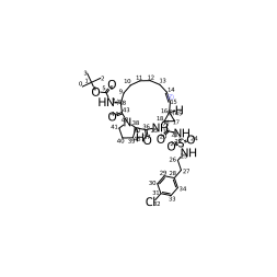 CC(C)(C)OC(=O)N[C@H]1CCCCC/C=C\[C@@H]2C[C@@]2(C(=O)NS(=O)(=O)NCCc2ccc(Cl)cc2)NC(=O)[C@@H]2CCCN2C1=O